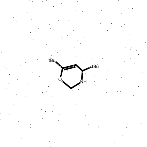 CC(C)(C)C1=CC(C(C)(C)C)NCO1